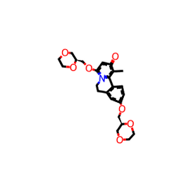 Cc1c2n(c(OC[C@@H]3COCCO3)cc1=O)CCc1cc(OC[C@@H]3COCCO3)ccc1-2